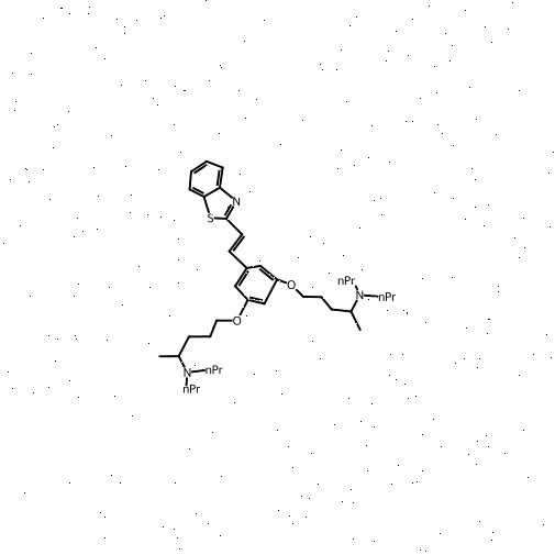 CCCN(CCC)C(C)CCCOc1cc(/C=C/c2nc3ccccc3s2)cc(OCCCC(C)N(CCC)CCC)c1